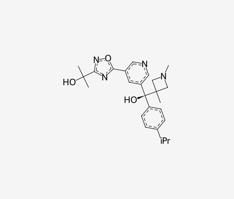 CC(C)c1ccc([C@](O)(c2cncc(-c3nc(C(C)(C)O)no3)c2)C2(C)CN(C)C2)cc1